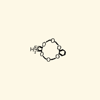 C/C=C1/OCCOCCOc2ccccc2OCCOCCO/C1=C/CC